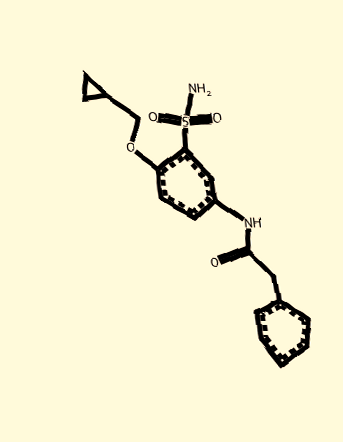 NS(=O)(=O)c1cc(NC(=O)Cc2ccccc2)ccc1OCC1CC1